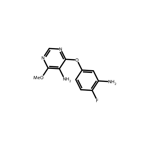 COc1ncnc(Oc2ccc(F)c(N)c2)c1N